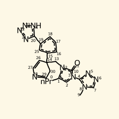 CCCc1cn(-c2nncn2C)c(=O)n1CC1(c2cccc(-c3nnn[nH]3)c2)C=CN=CC1